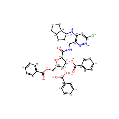 O=C(OC[C@H]1O[C@@H](C(=O)NCc2nnc(Cl)cc2NC2CCC3CCCC32)[C@H](OC(=O)c2ccccc2)[C@@H]1OC(=O)c1ccccc1)c1ccccc1